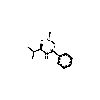 COC[C@@H](NC(=O)C(C)C)c1ccccc1